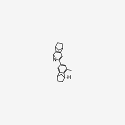 Cc1cc(-c2cc3c(cn2)C2CCC3C2)cc2c1[C@H]1CCC2C1